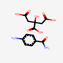 NC(=O)c1ccc(N)cc1.O=C(O)CC(O)(CC(=O)O)C(=O)O